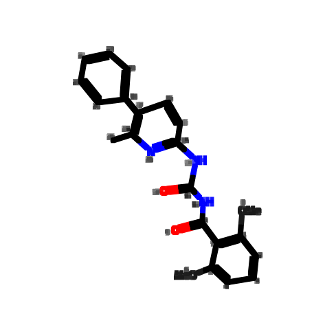 COc1cccc(OC)c1C(=O)NC(=O)Nc1ccc(-c2ccccc2)c(C)n1